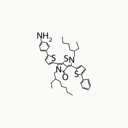 CCCCCC(CC)Cn1c(-c2ccc(-c3ccc(N)cc3)s2)c2sn(CC(CC)CCCC)c(-c3ccc(-c4ccccc4)s3)c-2c1=O